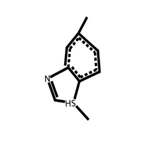 Cc1ccc2c(c1)N=C[SH]2C